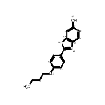 CCCCNc1ccc(-c2nc3ccc(O)cc3s2)cc1